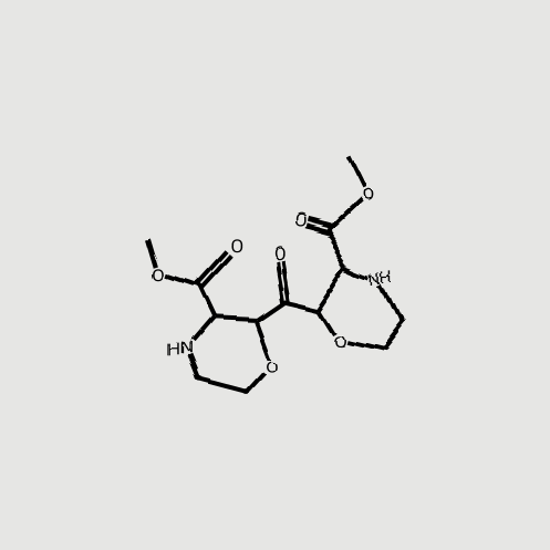 COC(=O)C1NCCOC1C(=O)C1OCCNC1C(=O)OC